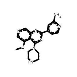 COc1cncc2nc(-c3ccnc(N)c3)nc(N3CCNCC3)c12